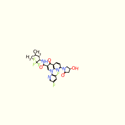 CC(C)C[C@@H](NC(=O)c1cn(-c2ncc(F)cc2F)c2nc(N3C[C@@H](O)CC3=O)ccc2c1=O)C(F)(F)F